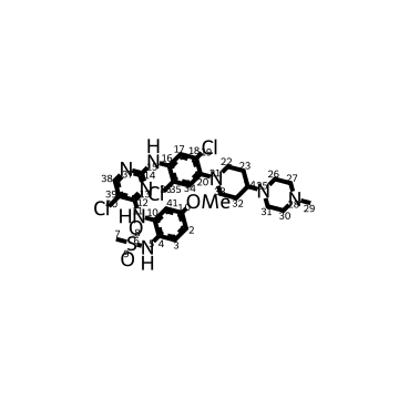 COc1ccc(NS(C)(=O)=O)c(Nc2nc(Nc3cc(Cl)c(N4CCC(N5CCN(C)CC5)CC4)cc3Cl)ncc2Cl)c1